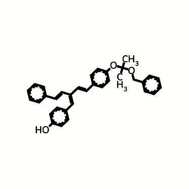 CC(C)(OCc1ccccc1)Oc1ccc(C=CC(C=Cc2ccccc2)=Cc2ccc(O)cc2)cc1